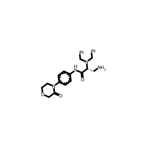 CC(C)CN(CC(C)C)[C@H](CN)C(=O)Nc1ccc(N2CCOCC2=O)cc1